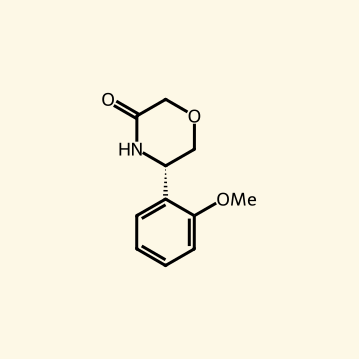 COc1ccccc1[C@H]1COCC(=O)N1